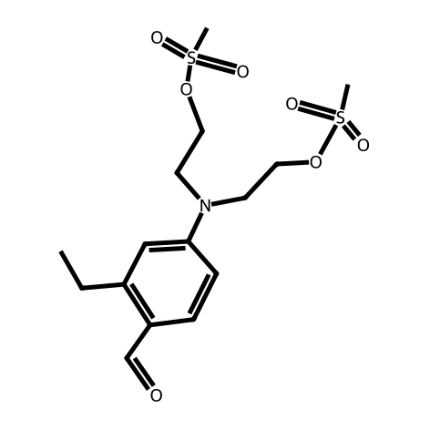 CCc1cc(N(CCOS(C)(=O)=O)CCOS(C)(=O)=O)ccc1C=O